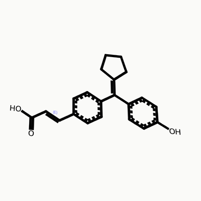 O=C(O)/C=C/c1ccc(C(=C2CCCC2)c2ccc(O)cc2)cc1